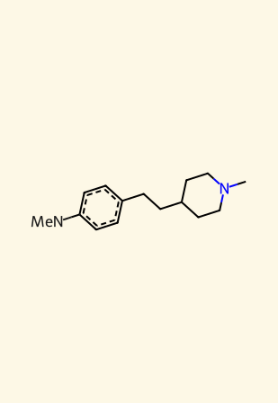 CNc1ccc(CCC2CCN(C)CC2)cc1